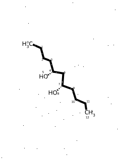 CCCC[C@@H](O)C[C@@H](O)CCCC